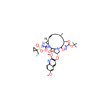 COc1ccc2nc(OC)c(O[C@@H]3C[C@H]4C(=O)N[C@]5(C(=O)NS(=O)(=O)C6(CF)CC6)C[C@H]5/C=C\CC[C@@H](C)C[C@@H](C)[C@H](NC(=O)OC(C)(C)C)C(=O)N4C3)cc2c1